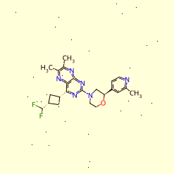 Cc1cc([C@@H]2CN(c3nc4nc(C)c(C)nc4c([C@H]4C[C@@H](C(F)F)C4)n3)CCO2)ccn1